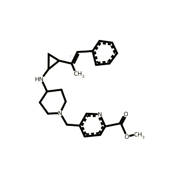 COC(=O)c1ccc(CN2CCC(NC3CC3/C(C)=C/c3ccccc3)CC2)cn1